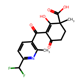 Cc1nc(C(F)F)ccc1C(=O)C1=C(O)C(C)(C(=O)O)CCC1=O